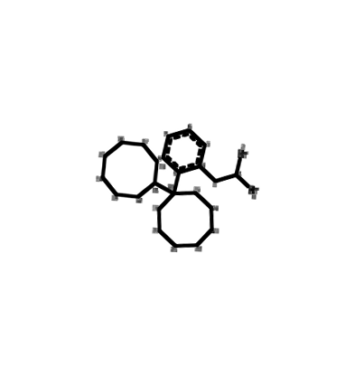 BrC(Br)Cc1ccccc1C1(C2CCCCCCC2)CCCCCCC1